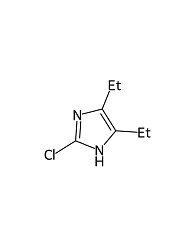 CCc1nc(Cl)[nH]c1CC